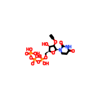 C#CO[C@@H]1[C@@H](O)[C@@H](COP(=O)(O)OP(=O)(O)OP(=O)(O)O)O[C@H]1n1ccc(=O)[nH]c1=O